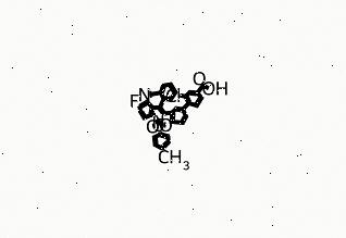 Cc1ccc(S(=O)(=O)n2c(-c3cccc(-c4ccc(C(=O)O)cc4Cl)c3)c(-c3ccccc3C#N)c3cc(F)ccc32)cc1